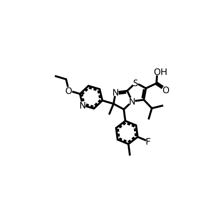 CCOc1ccc(C2(C)N=C3SC(C(=O)O)=C(C(C)C)N3C2c2ccc(C)c(F)c2)cn1